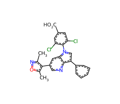 Cc1noc(C)c1-c1cnc2c(-c3ccccc3)cn(-c3c(Cl)cc(C(=O)O)cc3Cl)c2c1